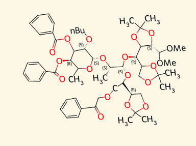 CCCCO[C@H]1C(OC(=O)c2ccccc2)[C@H](OC(=O)c2ccccc2)C(C)O[C@H]1O[C@@H](C)[C@@H](OC(COCC(=O)c1ccccc1)[C@H]1COC(C)(C)O1)O[C@H](C1COC(C)(C)O1)C1OC(C)(C)O[C@@H]1C(OC)OC